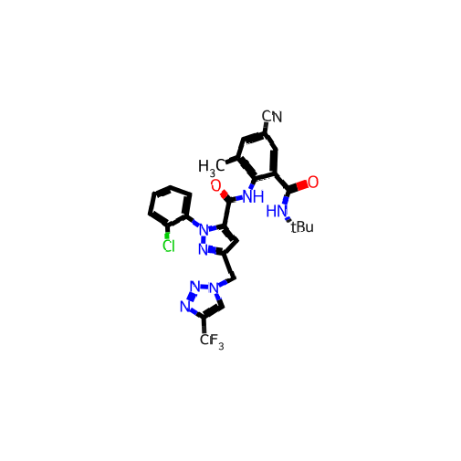 Cc1cc(C#N)cc(C(=O)NC(C)(C)C)c1NC(=O)c1cc(Cn2cc(C(F)(F)F)nn2)nn1-c1ccccc1Cl